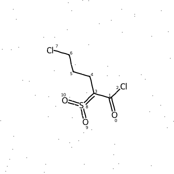 O=C(Cl)C(CCCCl)=S(=O)=O